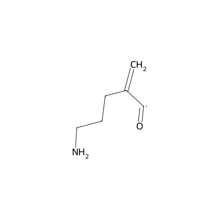 C=C([C]=O)CCCN